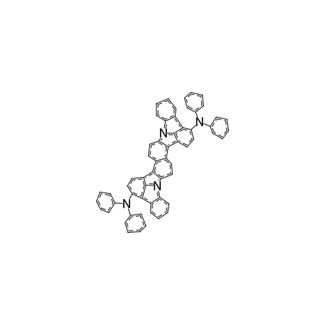 c1ccc(N(c2ccccc2)c2ccc3c4c5ccc6c(c5ccc4n4c5ccccc5c2c34)c2ccc(N(c3ccccc3)c3ccccc3)c3c4ccccc4n6c23)cc1